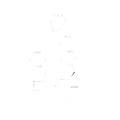 COC(=O)[C@H](Cc1ccc(NC(=O)c2ccncc2)cc1)NC(=O)[C@@H]1CCC(=O)N1Cc1ccccc1